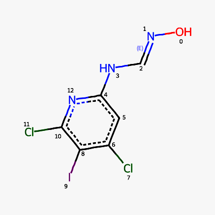 O/N=C/Nc1cc(Cl)c(I)c(Cl)n1